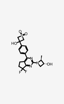 C[C@H]1[C@H](O)CN1c1nc(-c2ccc(C3(O)CS(=O)(=O)C3)cc2)c2c(n1)C(F)(F)CC2